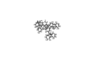 N#Cc1ccc(-n2c3ccc(-n4c5ccccc5c5ccccc54)cc3c3c4oc5ccccc5c4ccc32)c(C#N)c1-n1c2ccccc2c2ccccc21